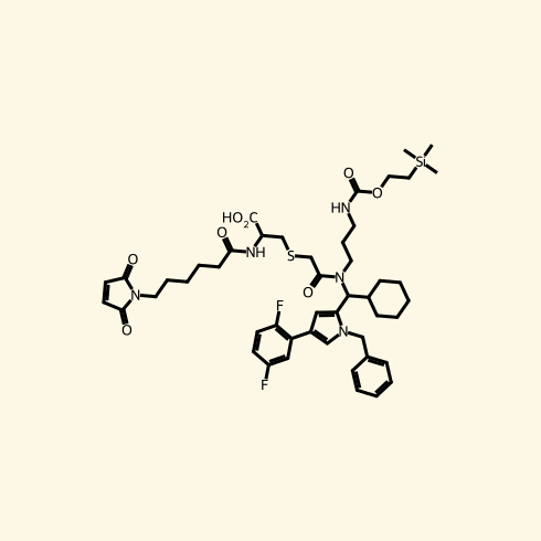 C[Si](C)(C)CCOC(=O)NCCCN(C(=O)CSCC(NC(=O)CCCCCN1C(=O)C=CC1=O)C(=O)O)C(c1cc(-c2cc(F)ccc2F)cn1Cc1ccccc1)C1CCCCC1